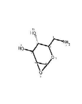 NCC1OC2OC2C(O)[C@@H]1O